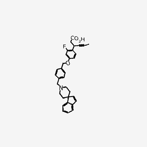 CC#CC(CC(=O)O)c1ccc(OCc2ccc(CN3CCC4(C=Cc5ccccc54)CC3)cc2)cc1F